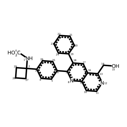 O=C(O)NC1(c2ccc(-c3nc4ccnc(CO)c4cc3-c3ccccc3)cc2)CCC1